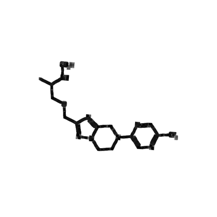 CC(COCc1nc2n(n1)CCN(c1cnc(C(F)(F)F)cn1)C2)NC(=O)O